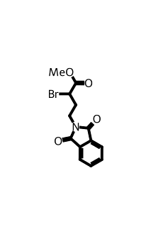 COC(=O)C(Br)CCN1C(=O)c2ccccc2C1=O